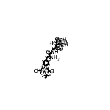 CC(C)(C)OC(=O)[N+](CCCl)(CCCl)c1ccc(C[C@H](N)C(=O)NCCCC(O)(P(=O)(O)O)P(=O)(O)O)cc1